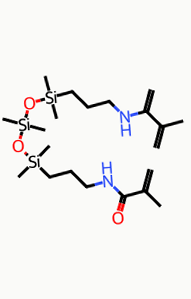 C=C(C)C(=C)NCCC[Si](C)(C)O[Si](C)(C)O[Si](C)(C)CCCNC(=O)C(=C)C